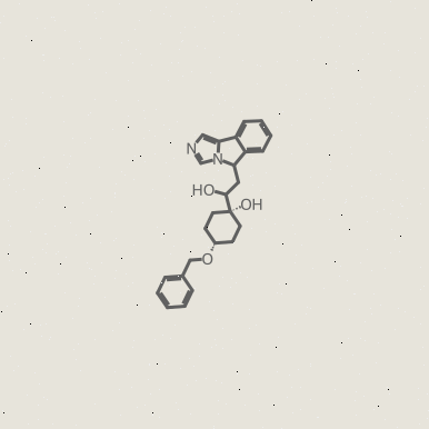 OC(CC1c2ccccc2-c2cncn21)[C@]1(O)CC[C@@H](OCc2ccccc2)CC1